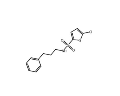 O=S(=O)(NCCCc1ccccc1)c1ccc(Cl)s1